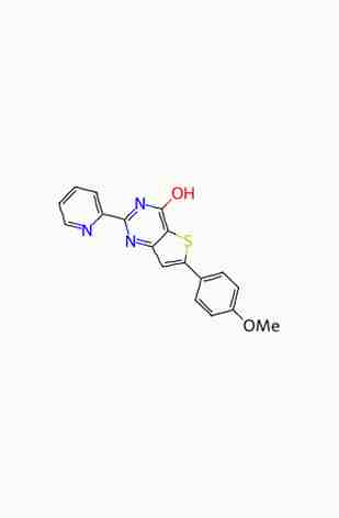 COc1ccc(-c2cc3nc(-c4ccccn4)nc(O)c3s2)cc1